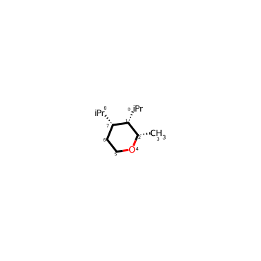 CC(C)[C@@H]1[C@H](C)OCC[C@@H]1C(C)C